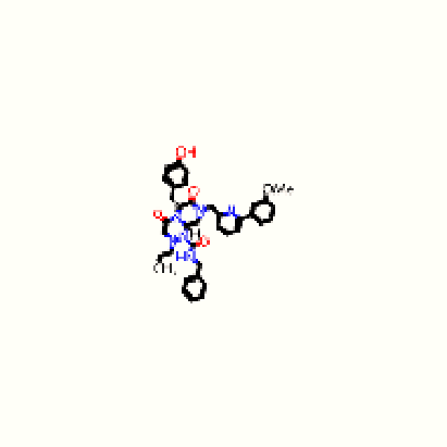 C=CCN1CC(=O)N2[C@@H](Cc3ccc(O)cc3)C(=O)N(Cc3cccc(-c4cccc(OC)c4)n3)C[C@@H]2N1C(=O)NCc1ccccc1